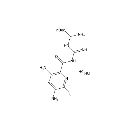 CCCCCCCCCCC(N)NC(=N)NC(=O)c1nc(Cl)c(N)nc1N.Cl.Cl